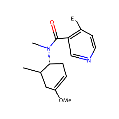 CCc1ccncc1C(=O)N(C)[C@@H]1CC=C(OC)CC1C